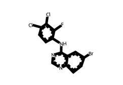 Fc1c(Nc2ncnc3ccc(Br)cc23)ccc(Cl)c1Cl